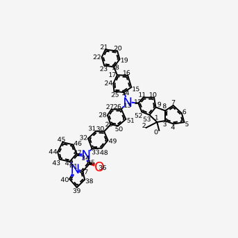 CC1(C)c2ccccc2-c2ccc(N(c3ccc(-c4ccccc4)cc3)c3ccc(-c4ccc(-n5c(=O)c6cccn6c6ccccc65)cc4)cc3)cc21